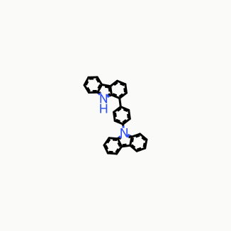 c1ccc2c(c1)[nH]c1c(-c3ccc(-n4c5ccccc5c5ccccc54)cc3)cccc12